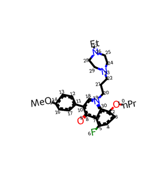 CCCOc1ccc(F)c2c(=O)c(-c3ccc(OC)cc3)cn(CCCN3CCN(CC)CC3)c12